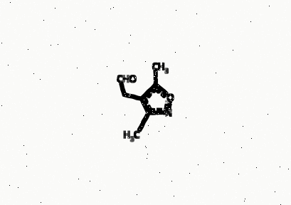 Cc1noc(C)c1CC=O